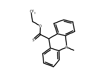 CN1c2ccccc2C(C(=S)OCC(F)(F)F)c2ccccc21